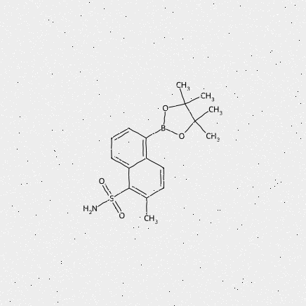 Cc1ccc2c(B3OC(C)(C)C(C)(C)O3)cccc2c1S(N)(=O)=O